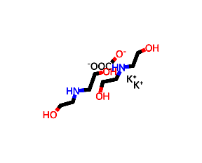 O=C([O-])[O-].OCCNCCO.OCCNCCO.[K+].[K+]